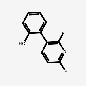 Oc1ccccc1-c1ccc(F)nc1I